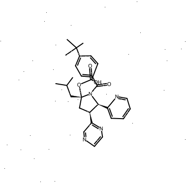 CC(C)C[C@]1(OC(=O)O)C[C@H](c2cnccn2)[C@H](c2ccccn2)N1C(=O)c1ccc(C(C)(C)C)cc1